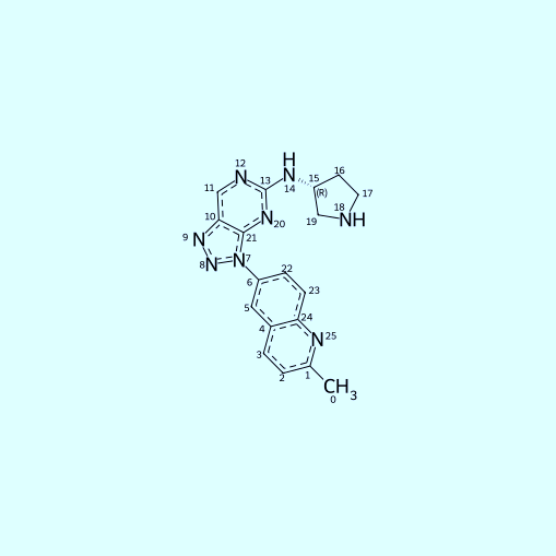 Cc1ccc2cc(-n3nnc4cnc(N[C@@H]5CCNC5)nc43)ccc2n1